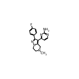 CN1CCn2nc(-c3ccc(F)cc3)c(-c3ccnc(N)n3)c2C1